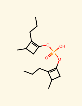 CCCC1=C(OP(=O)(O)OC2=C(CCC)C(C)C2)CC1C